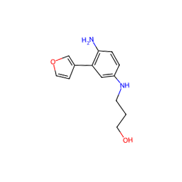 Nc1ccc(NCCCO)cc1-c1ccoc1